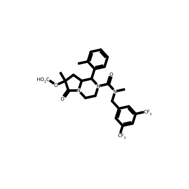 Cc1ccccc1C1C2CC(C)(OC(=O)O)C(=O)N2CCN1C(=O)N(C)Cc1cc(C(F)(F)F)cc(C(F)(F)F)c1